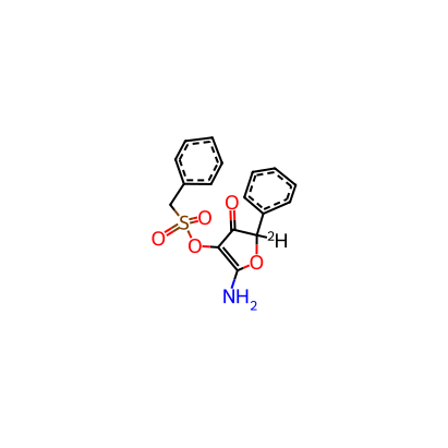 [2H]C1(c2ccccc2)OC(N)=C(OS(=O)(=O)Cc2ccccc2)C1=O